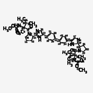 COC(=O)N[C@](C)(C(=O)N1CCCC1c1ncc(-c2ccc(-c3ccc(-c4cnc(C5CCCN5C(=O)[C@@](C)(NC(=O)OC)C(C)C)[nH]4)cc3)cc2)[nH]1)C(C)C